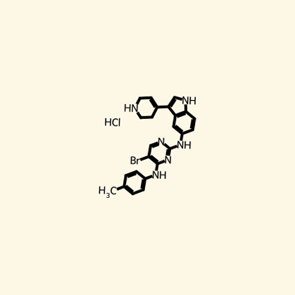 Cc1ccc(Nc2nc(Nc3ccc4[nH]cc(C5=CCNCC5)c4c3)ncc2Br)cc1.Cl